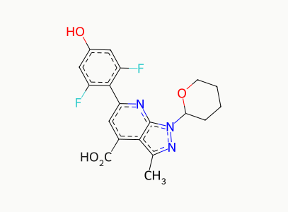 Cc1nn(C2CCCCO2)c2nc(-c3c(F)cc(O)cc3F)cc(C(=O)O)c12